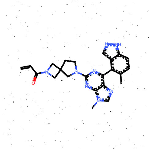 C=CC(=O)N1CC2(CCN(c3nc(-c4c(C)ccc5[nH]ncc45)c4ncn(C)c4n3)C2)C1